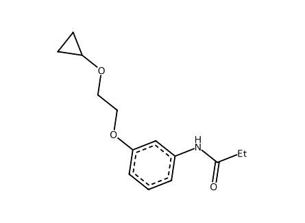 CCC(=O)Nc1cccc(OCCOC2CC2)c1